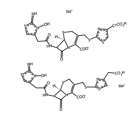 N=c1scc(CC(=O)NC2C(=O)N3C(C(=O)[O-])=C(CSc4nc(CC(=O)O)cs4)CS[C@H]23)n1O.N=c1scc(CC(=O)NC2C(=O)N3C(C(=O)[O-])=C(CSc4nc(CC(=O)O)cs4)CS[C@H]23)n1O.[Na+].[Na+]